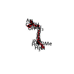 COc1cc(-c2scnc2C)ccc1CNC(=O)[C@@H]1C[C@@H](O)CN1C(=O)[C@@H](c1cc(OCCOCCOCCOCCOCC#Cc2cccc(CN(C)C(=O)CCNc3nc(N4CCN(C(C)=O)CC4)c4cc(Cl)c(-c5cc(O)cc6ccccc56)c(F)c4n3)c2)no1)C(C)C